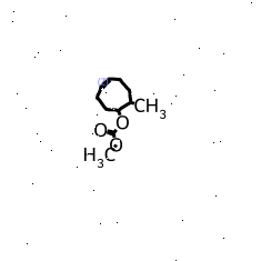 COC(=O)OC1CC/C=C\CCC1C